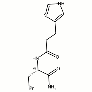 CC(C)C[C@H](NC(=O)CCc1c[nH]cn1)C(N)=O